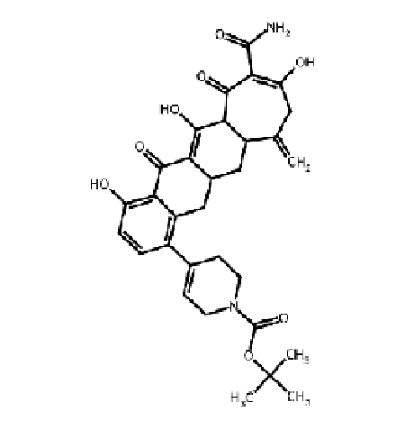 C=C1CC(O)=C(C(N)=O)C(=O)C2C(O)=C3C(=O)c4c(O)ccc(C5=CCN(C(=O)OC(C)(C)C)CC5)c4CC3CC12